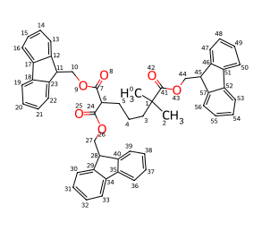 CC(C)(CCCC(C(=O)OCC1c2ccccc2-c2ccccc21)C(=O)OCC1c2ccccc2-c2ccccc21)C(=O)OCC1c2ccccc2-c2ccccc21